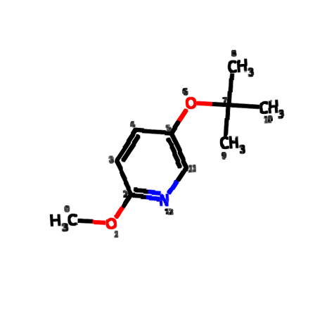 COc1ccc(OC(C)(C)C)cn1